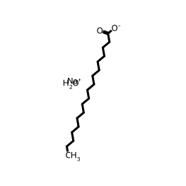 CCCCCCCCCCCCCCCCCC(=O)[O-].O.[Na+]